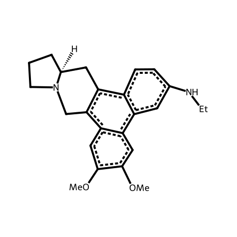 CCNc1ccc2c3c(c4cc(OC)c(OC)cc4c2c1)CN1CCC[C@H]1C3